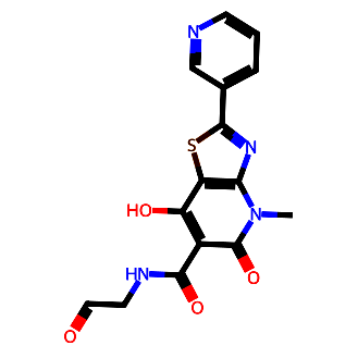 Cn1c(=O)c(C(=O)NCC=O)c(O)c2sc(-c3cccnc3)nc21